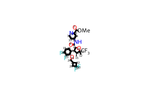 COC(=O)c1cc(NC(=O)[C@@H]2O[C@](C)(C(F)(F)F)[C@@H](C)[C@H]2c2ccc(F)c(F)c2OCC2CC(F)(F)C2)ccn1